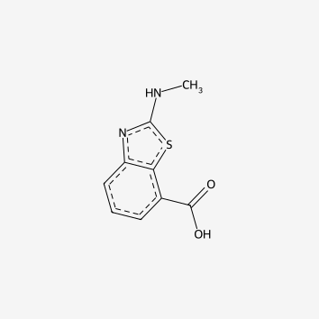 CNc1nc2cccc(C(=O)O)c2s1